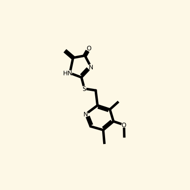 C=C1NC(SCc2ncc(C)c(OC)c2C)=NC1=O